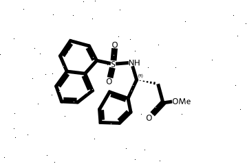 COC(=O)C[C@@H](NS(=O)(=O)c1cccc2ccccc12)c1ccccc1